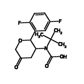 CC(C)(C)N(C(=O)O)C1CC(=O)COC1c1cc(F)ccc1F